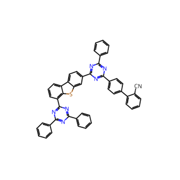 N#Cc1ccccc1-c1ccc(-c2nc(-c3ccccc3)nc(-c3ccc4c(c3)sc3c(-c5nc(-c6ccccc6)nc(-c6ccccc6)n5)cccc34)n2)cc1